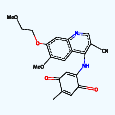 COCCOc1cc2ncc(C#N)c(NC3=CC(=O)C(C)=CC3=O)c2cc1OC